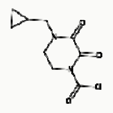 O=C1C(=O)N(C(=O)Cl)CCN1CC1CC1